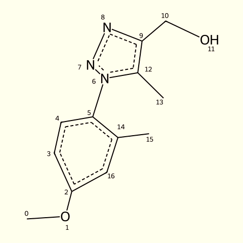 COc1ccc(-n2nnc(CO)c2C)c(C)c1